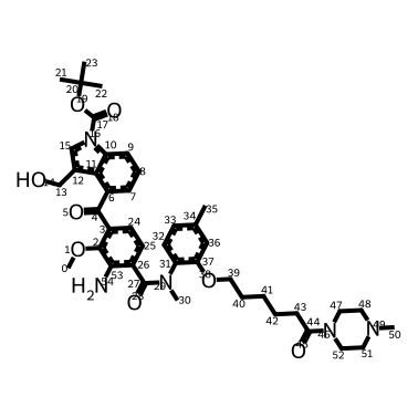 COc1c(C(=O)c2cccc3c2c(CO)cn3C(=O)OC(C)(C)C)ccc(C(=O)N(C)c2ccc(C)cc2OCCCCCC(=O)N2CCN(C)CC2)c1N